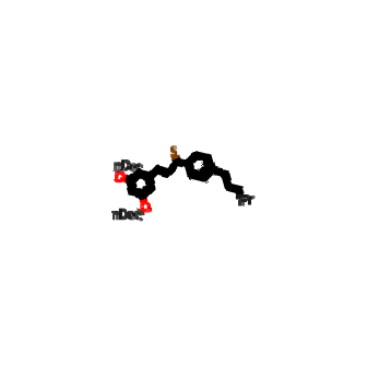 CCCCCCCCCCOc1cc(C=CC(=S)c2ccc(CCCC(C)C)cc2)cc(OCCCCCCCCCC)c1